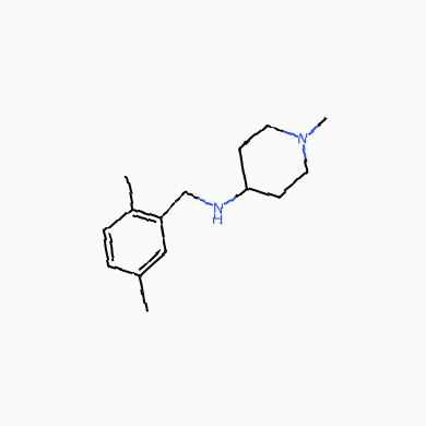 Cc1ccc(C)c(CNC2CCN(C)CC2)c1